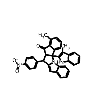 Cc1cccc2c1C(=O)C1C(c3ccc([N+](=O)[O-])cc3)c3cc4ccccc4n3C21c1[nH]c2ccccc2c1C